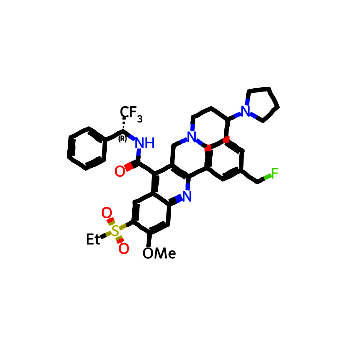 CCS(=O)(=O)c1cc2c(C(=O)N[C@H](c3ccccc3)C(F)(F)F)c(CN3CCC(N4CCCC4)CC3)c(-c3cccc(CF)c3)nc2cc1OC